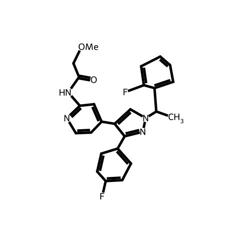 COCC(=O)Nc1cc(-c2cn(C(C)c3ccccc3F)nc2-c2ccc(F)cc2)ccn1